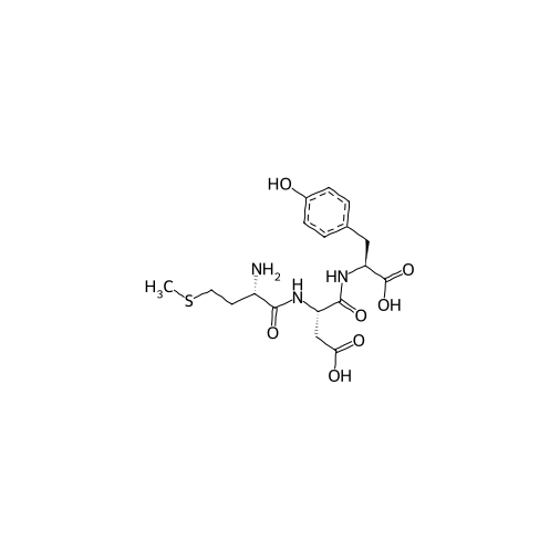 CSCC[C@H](N)C(=O)N[C@@H](CC(=O)O)C(=O)N[C@@H](Cc1ccc(O)cc1)C(=O)O